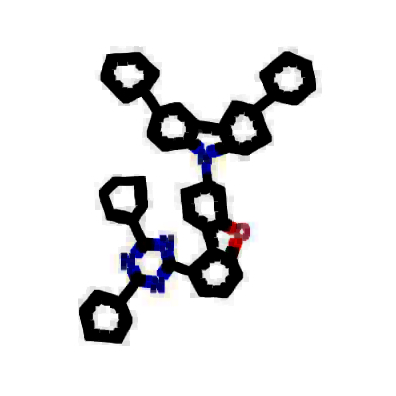 C1=CC(c2nc(-c3ccccc3)nc(-c3cccc4oc5cc(-n6c7ccc(-c8ccccc8)cc7c7cc(-c8ccccc8)ccc76)ccc5c34)n2)=CCC1